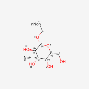 CCCCCCCCCCO[C@@H]1O[C@H](CO)[C@H](O)[C@H](O)[C@H]1O.[NaH]